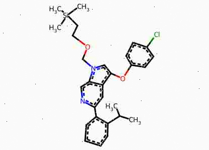 CC(C)c1ccccc1-c1cc2c(Oc3ccc(Cl)cc3)cn(COCC[Si](C)(C)C)c2cn1